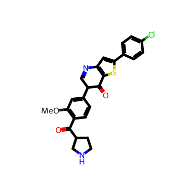 COc1cc(C2C=Nc3cc(-c4ccc(Cl)cc4)sc3C2=O)ccc1C(=O)C1CCNC1